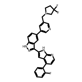 Fc1ccccc1-c1ccnc2[nH]c(-c3n[nH]c4ccc(-c5cncc(CN6CCC(F)(F)C6)c5)cc34)cc12